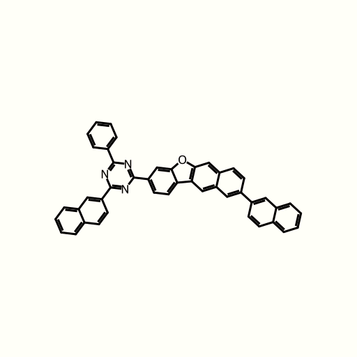 c1ccc(-c2nc(-c3ccc4ccccc4c3)nc(-c3ccc4c(c3)oc3cc5ccc(-c6ccc7ccccc7c6)cc5cc34)n2)cc1